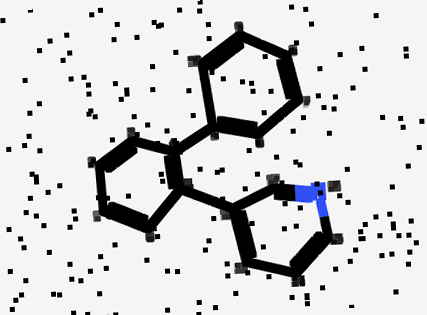 [c]1cccc(-c2ccccc2)c1-c1cccnc1